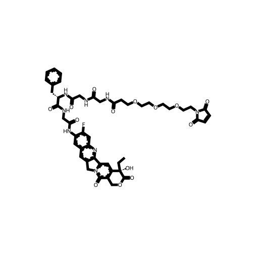 CC[C@@]1(O)C(=O)OCc2c1cc1n(c2=O)Cc2cc3cc(NC(=O)CNC(=O)[C@H](Cc4ccccc4)NC(=O)CNC(=O)CNC(=O)CCOCCOCCOCCN4C(=O)C=CC4=O)c(F)cc3nc2-1